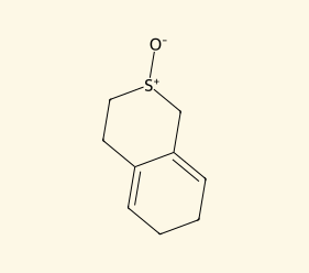 [O-][S+]1CCC2=CCCC=C2C1